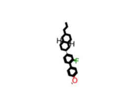 CCCC1CC[C@@H]2C[C@H](c3ccc(-c4ccc(OC)cc4)c(F)c3)CC[C@@H]2C1